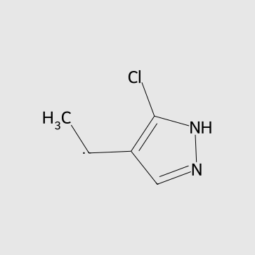 C[CH]c1cn[nH]c1Cl